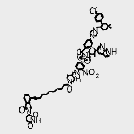 CC1(C)CCC(CN2CCN(c3ccc(C(=O)NS(=O)(=O)c4ccc(NCC5CCN(C(=O)CCCCCCCCC#Cc6cccc7c6CN(C6CCC(=O)NC6=O)C7=O)CC5)c([N+](=O)[O-])c4)c(Oc4cnc5[nH]ccc5c4)c3)CC2)=C(c2ccc(Cl)cc2)C1